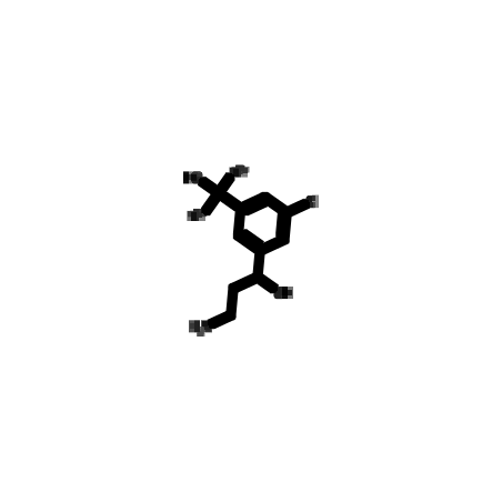 CCCC(O)(CCC)c1cc(Cl)cc(C(O)CCN)c1